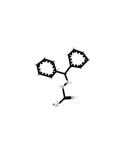 CC(=O)OSC(c1ccccc1)c1ccccc1